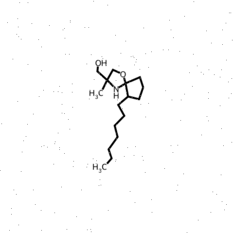 CCCCCCCC1CCCC12NC(C)(CO)CO2